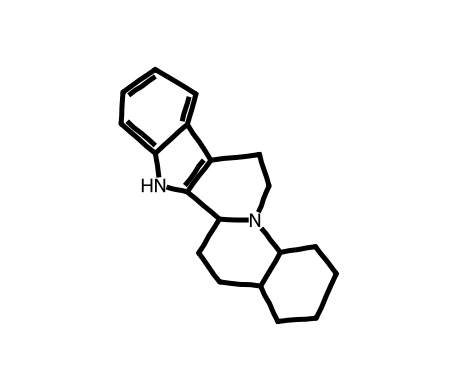 c1ccc2c3c([nH]c2c1)C1CCC2CCCCC2N1CC3